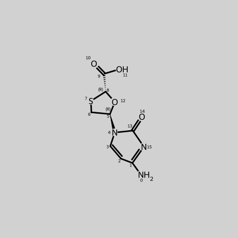 Nc1ccn([C@H]2CS[C@H](C(=O)O)O2)c(=O)n1